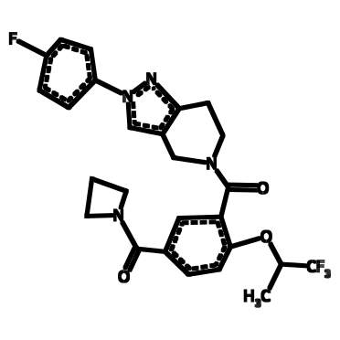 CC(Oc1ccc(C(=O)N2CCC2)cc1C(=O)N1CCc2nn(-c3ccc(F)cc3)cc2C1)C(F)(F)F